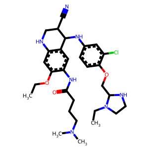 CCOc1cc2c(cc1NC(=O)CCCN(C)C)C(Nc1ccc(OCC3NCCN3CC)c(Cl)c1)C(C#N)CN2